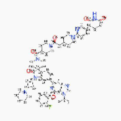 CC(C)n1cnc2cc(-c3ccc4c(c3)N([C@H]3C[C@@H](N5CCCCC5)C3)C(=O)C43CCN(C(=O)C4CCN(C(=O)CC5CCN(c6ccc(C7CCC(=O)NC7=O)cn6)CC5)CC4)CC3)nc(Oc3ccccc3F)c21